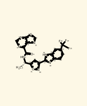 C[C@H](NC(=O)c1ncnc2scnc12)c1cc(-c2nc3ccc(C(F)(F)F)cc3[nH]2)no1